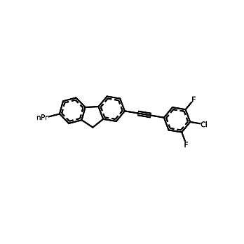 CCCc1ccc2c(c1)Cc1cc(C#Cc3cc(F)c(Cl)c(F)c3)ccc1-2